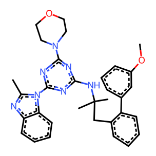 COc1cccc(-c2ccccc2CC(C)(C)Nc2nc(N3CCOCC3)nc(-n3c(C)nc4ccccc43)n2)c1